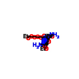 CCC(=O)CCOCCOCCOCCOCCC(=O)N[C@H](C(=O)N[C@@H](CCCNC(N)=O)C(=O)Nc1ccc(COC(=O)CC)c(C(=O)NCCN)c1)C(C)C